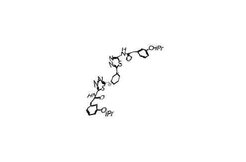 CC(C)Oc1cccc(CC(=O)Nc2nnc([C@H]3CCC[C@H](c4nnc(NC(=O)Cc5cccc(OC(C)C)c5)s4)C3)s2)c1